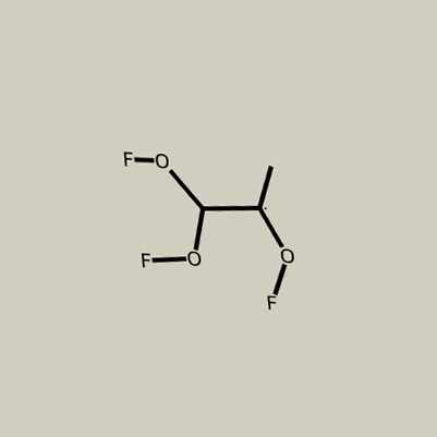 C[C](OF)C(OF)OF